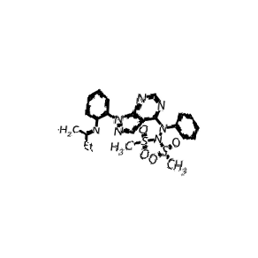 [CH2]C(CC)=Nc1ccccc1-n1ncc2c(N(c3ccccc3)N(S(C)(=O)=O)S(C)(=O)=O)ncnc21